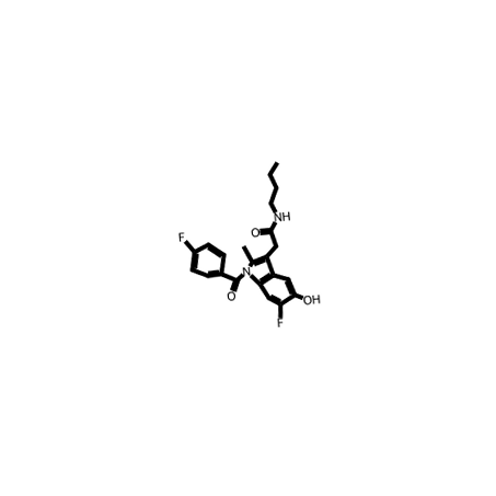 CCCCNC(=O)Cc1c(C)n(C(=O)c2ccc(F)cc2)c2cc(F)c(O)cc12